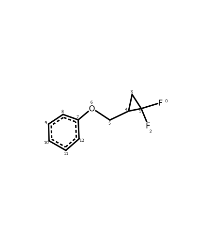 FC1(F)CC1COc1ccccc1